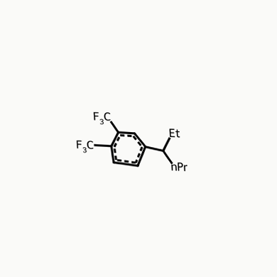 CCCC(CC)c1ccc(C(F)(F)F)c(C(F)(F)F)c1